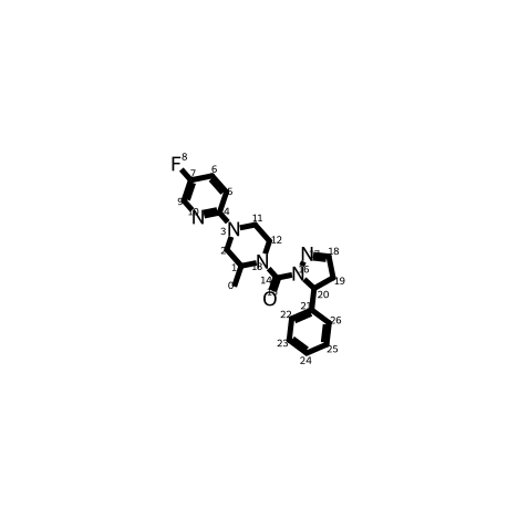 CC1CN(c2ccc(F)cn2)CCN1C(=O)N1N=CCC1c1ccccc1